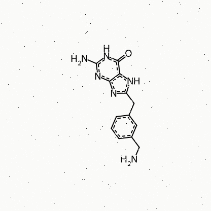 NCc1cccc(Cc2nc3nc(N)[nH]c(=O)c3[nH]2)c1